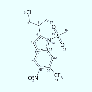 CC(CCl)c1cc2cc([N+](=O)[O-])c(C(F)(F)F)cc2n1S(C)(=O)=O